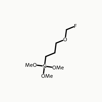 CO[Si](CCCOCF)(OC)OC